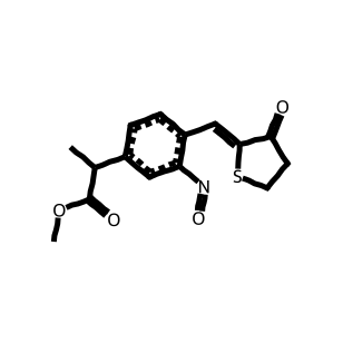 COC(=O)C(C)c1ccc(/C=C2\SCCC2=O)c(N=O)c1